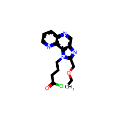 CCOCc1nc2cnc3cccnc3c2n1CCCC(=O)Cl